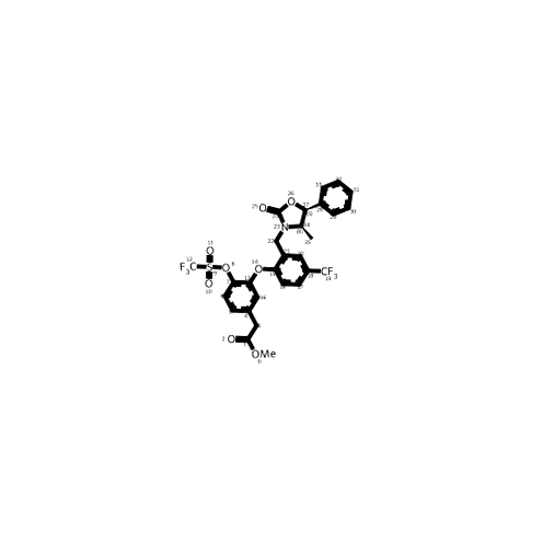 COC(=O)Cc1ccc(OS(=O)(=O)C(F)(F)F)c(Oc2ccc(C(F)(F)F)cc2CN2C(=O)O[C@@H](c3ccccc3)[C@H]2C)c1